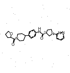 O=C(Nc1ccc(C2CCN(C(=O)C3CCCO3)CC2)cc1)[C@H]1CCN(c2cccnn2)C1